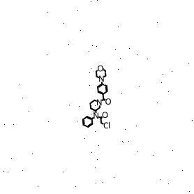 O=C(c1ccc(N2CCOCC2)cc1)N1CCC[C@H](N(C(=O)CCl)c2ccccc2)C1